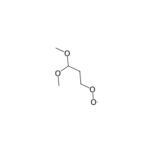 COC(CCO[O])OC